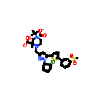 CC1(C(=O)O)C[N+](C(=O)[O-])(C(C)(C)C)CCN1Cc1cc(-c2ccc(-c3cccc(S(C)(=O)=O)c3)s2)n(-c2ccccc2Cl)n1